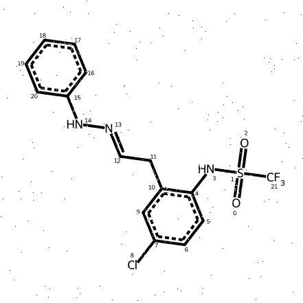 O=S(=O)(Nc1ccc(Cl)cc1CC=NNc1ccccc1)C(F)(F)F